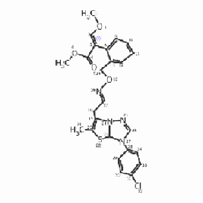 CO/C=C(/C(=O)OC)c1ccccc1CON=CCC1=C(C)SC2N1N=CN2c1ccc(Cl)cc1